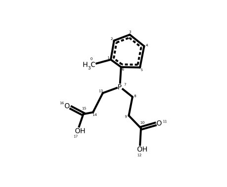 Cc1ccccc1P(CCC(=O)O)CCC(=O)O